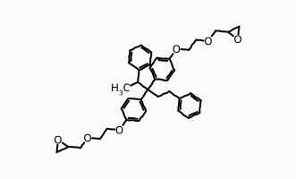 CC(c1ccccc1)C(CCc1ccccc1)(c1ccc(OCCOCC2CO2)cc1)c1ccc(OCCOCC2CO2)cc1